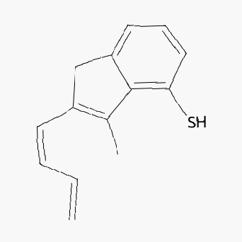 C=C/C=C\C1=C(C)c2c(S)cccc2C1